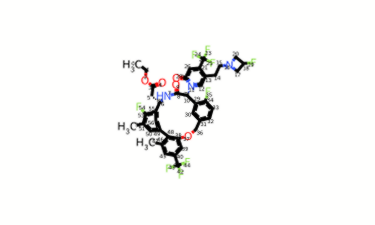 CCOC(=O)C[C@@H]1NC(=O)[C@H](n2cc(CCN3CC(F)C3)c(C(F)(F)F)cc2=O)c2cc(ccc2F)COc2cc(C(F)(F)F)cc(C)c2-c2cc(C)c(F)c1c2